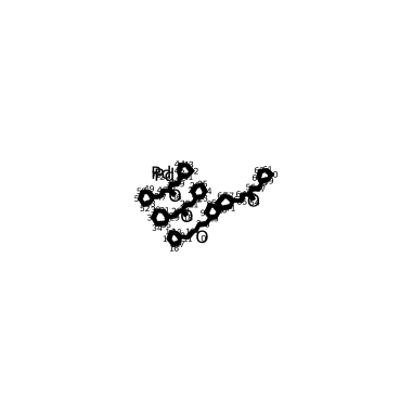 O=C(C=Cc1ccccc1)C=Cc1ccccc1.O=C(C=Cc1ccccc1)C=Cc1ccccc1.O=C(C=Cc1ccccc1)C=Cc1ccccc1.O=C(C=Cc1ccccc1)C=Cc1ccccc1.[Pd].[Pd]